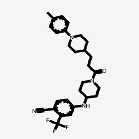 Cc1ccc(N2CCC(CCC(=O)N3CCC(Nc4ccc(C#N)c(C(F)(F)F)c4)CC3)CC2)cc1